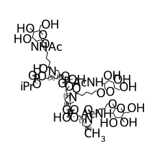 CC(=O)NC1C(OCCCCC(=O)N2C[C@H](C)C[C@H]2COP(=O)(O)O[C@@H]2C[C@@H](COP(=O)(O)O[C@@H]3C[C@@H](CO[PH](=O)OC(C)C)N(C(=O)CCCCOC4OC(CO)C(O)C(O)C4NC(C)=O)C3)N(C(=O)CCCCOC3OC(CO)C(O)C(O)C3NC(C)=O)C2)OC(CO)C(O)C1O